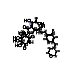 C=C(O)/C(O)=C1/C(=O)N(C2(O)C(=O)NC(=O)C(O)(O)C2(O)O)C/C1=C(/O)NCc1ccc(CN2CCOCC2)cc1F